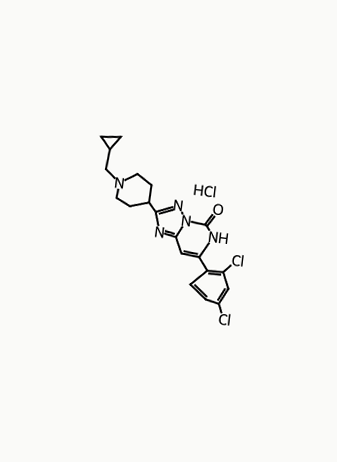 Cl.O=c1[nH]c(-c2ccc(Cl)cc2Cl)cc2nc(C3CCN(CC4CC4)CC3)nn12